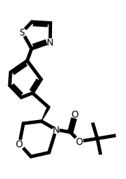 CC(C)(C)OC(=O)N1CCOC[C@H]1Cc1cccc(-c2nccs2)c1